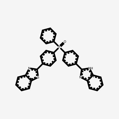 O=P(c1ccccc1)(c1ccc(-c2nc3ccccc3[nH]2)cc1)c1ccc(-c2nc3ccccc3s2)cc1